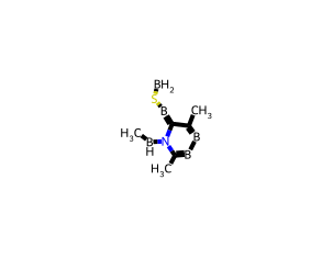 BSB=C1C(C)=BB=C(C)N1BC